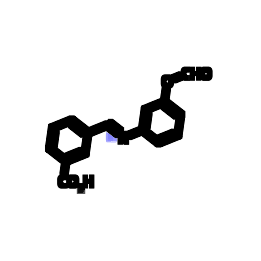 O=COc1cccc(/N=C/c2cccc(C(=O)O)c2)c1